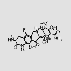 CNC1Cc2c(F)c3c(c(O)c2NC1=O)C(=O)C1=C(O)[C@@]2(O)C(=O)C(C(N)=O)=C(O)[C@H](N(C)C)[C@H]2C[C@H]1C3